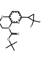 CC(C)(C)OC(=O)N1CCOc2ccc(C3CC3(F)F)nc21